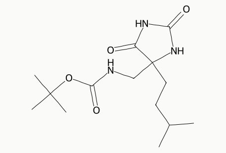 CC(C)CCC1(CNC(=O)OC(C)(C)C)NC(=O)NC1=O